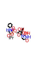 C#C[C@@]1(O)[C@H](O)[C@@H](COP(=S)(N[C@@H](C)C(=O)OC(C)C)Oc2ccccc2)O[C@H]1N1C=CC(=O)NC1O